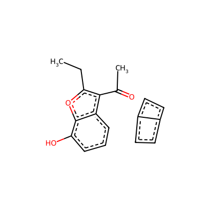 CCc1oc2c(O)cccc2c1C(C)=O.c1cc2ccc1-2